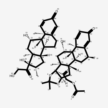 CC(=O)OCC(=O)[C@@]12OC(C)(C)O[C@@H]1C[C@H]1[C@@H]3C[C@H](F)C4=CC(=O)C=C[C@]4(C)[C@@]3(F)[C@@H](O)C[C@@]12C.C[C@H]1C[C@H]2[C@@H]3CCC4=CC(=O)C=C[C@]4(C)[C@@]3(F)[C@@H](O)C[C@]2(C)[C@@]1(O)C(=O)CO